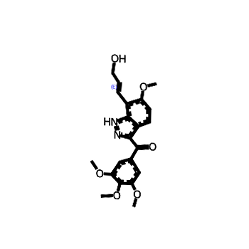 COc1cc(C(=O)c2n[nH]c3c(/C=C/CO)c(OC)ccc23)cc(OC)c1OC